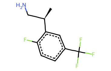 C[C@H](CN)c1cc(C(F)(F)F)ccc1F